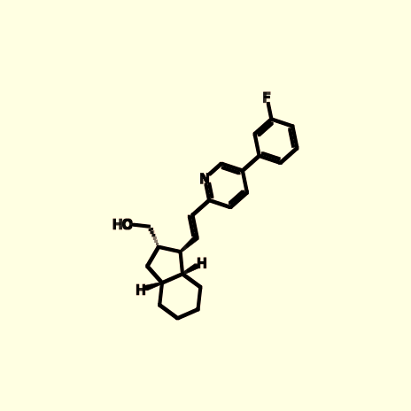 OC[C@H]1C[C@H]2CCCC[C@H]2[C@@H]1/C=C/c1ccc(-c2cccc(F)c2)cn1